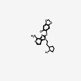 CC(=O)N1CCCC1CCn1c(Sc2cc3c(cc2Cl)OCO3)nc2c(N)nccc21